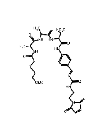 COCCOCC(=O)NC(C)C(=O)NC(C)C(=O)NC(CC(=O)O)C(=O)Nc1ccc(/C=N/C(=O)NCCN2C(=O)C=CC2=O)cc1